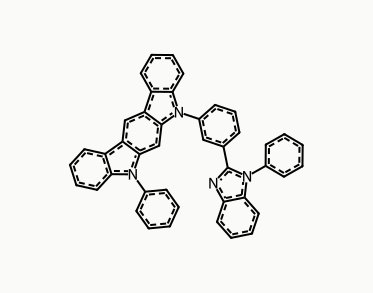 c1ccc(-n2c(-c3cccc(-n4c5ccccc5c5cc6c7ccccc7n(-c7ccccc7)c6cc54)c3)nc3ccccc32)cc1